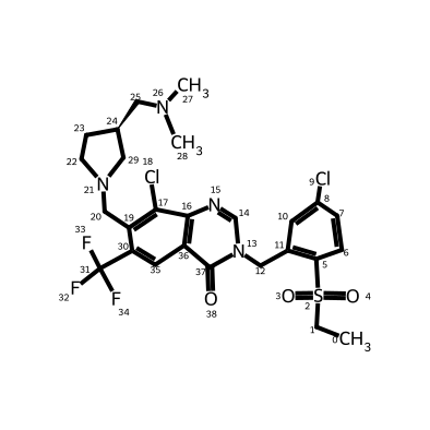 CCS(=O)(=O)c1ccc(Cl)cc1Cn1cnc2c(Cl)c(CN3CC[C@@H](CN(C)C)C3)c(C(F)(F)F)cc2c1=O